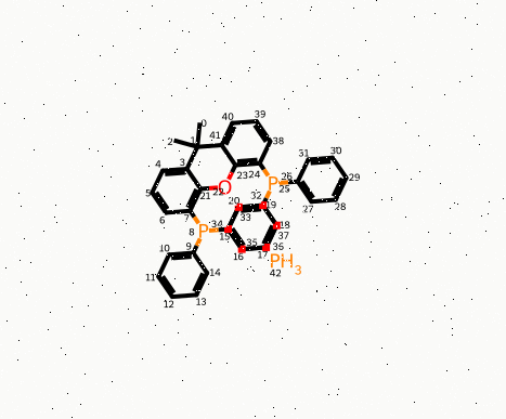 CC1(C)c2cccc(P(c3ccccc3)c3ccccc3)c2Oc2c(P(c3ccccc3)c3ccccc3)cccc21.P